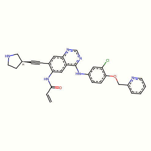 C=CC(=O)Nc1cc2c(Nc3ccc(OCc4ccccn4)c(Cl)c3)ncnc2cc1C#C[C@H]1CCNC1